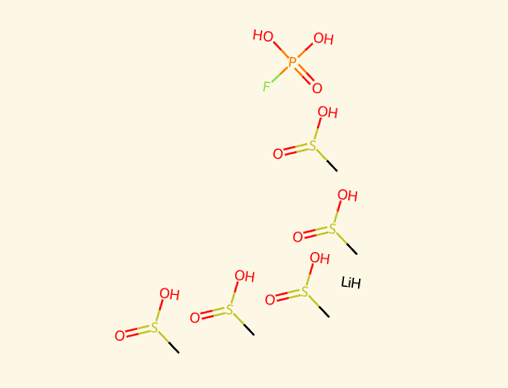 CS(=O)O.CS(=O)O.CS(=O)O.CS(=O)O.CS(=O)O.O=P(O)(O)F.[LiH]